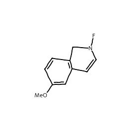 COc1ccc2c(c1)C=CN(F)C2